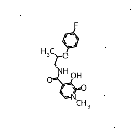 CC(CNC(=O)c1ccn(C)c(=O)c1O)Oc1ccc(F)cc1